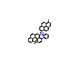 Cc1ccc2ccc3c(N(c4cc5c6c(ccc7cccc(c76)C5(C)C)c4)c4ccccc4-c4ccccc4)ccc4ccc1c2c43